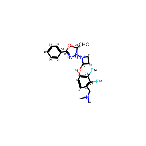 CN(C)Cc1ccc(OC2CCN2N2N=C(c3ccccc3)OC2C=O)c(F)c1F